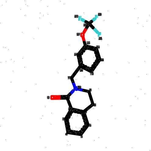 O=C1c2ccccc2CCN1Cc1cccc(OC(F)(F)F)c1